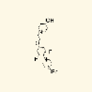 CC(C)N1CCN(c2c(F)cc(OCCN3CCC(O)CC3)cc2F)CC1